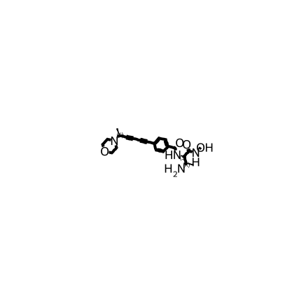 C[C@@H](N)[C@H](NC(=O)c1ccc(C#CC#C[C@H](C)N2CCOCC2)cc1)C(=O)NO